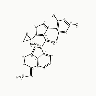 CNC1(c2onc(-c3c(Cl)cc(Cl)cc3Cl)c2C(=O)n2cc3c4c(cccc42)/C(=C/C(=O)O)CC3)CC1